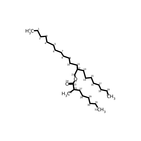 CCCCCCCCCCCCC(CCCCCCCC)COC(=O)C(C)CCCCCC